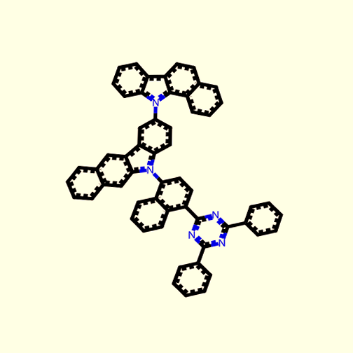 c1ccc(-c2nc(-c3ccccc3)nc(-c3ccc(-n4c5ccc(-n6c7ccccc7c7ccc8ccccc8c76)cc5c5cc6ccccc6cc54)c4ccccc34)n2)cc1